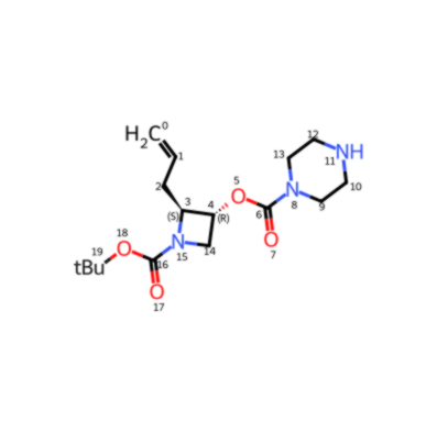 C=CC[C@H]1[C@H](OC(=O)N2CCNCC2)CN1C(=O)OC(C)(C)C